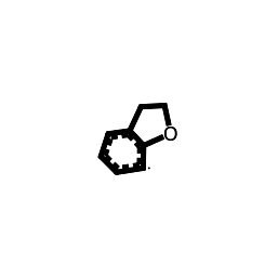 [c]1cccc2c1OCC2